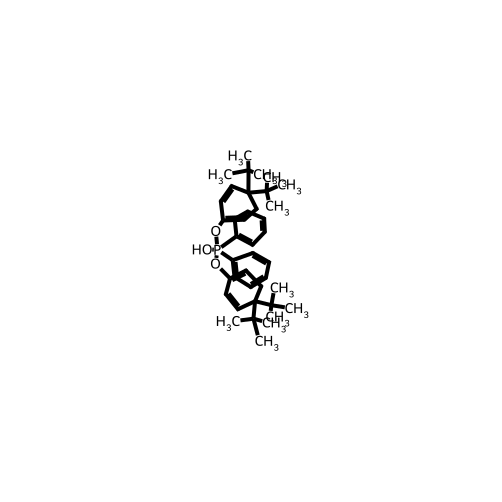 CC(C)(C)C1(C(C)(C)C)C=CC(OP(O)(OC2=CCC(C(C)(C)C)(C(C)(C)C)C=C2)(c2ccccc2)c2ccccc2)=CC1